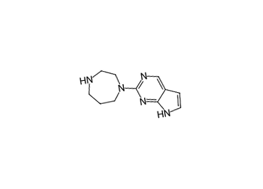 c1cc2cnc(N3CCCNCC3)nc2[nH]1